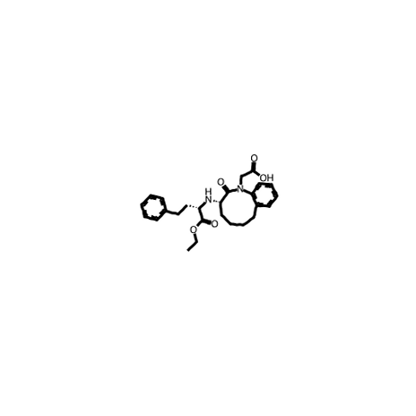 CCOC(=O)[C@H](CCc1ccccc1)N[C@H]1CCCCc2ccccc2N(CC(=O)O)C1=O